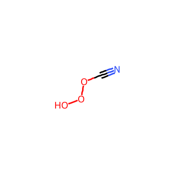 N#COOO